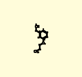 N#CCc1cccc(OCCCl)c1